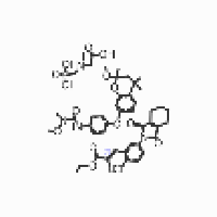 CCOC(=O)/C(Cl)=C/c1cc(N2C(=O)C3=C(CCCC3)C2=O)ccc1Cl.CON(C)C(=O)Nc1ccc(Oc2ccc3c(c2)OC(C)(OC)CC3(C)C)cc1.O=C(O)CNCP(=O)(O)O